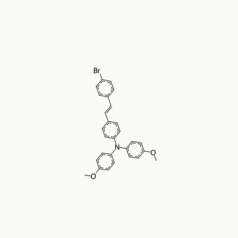 COc1ccc(N(c2ccc(C=Cc3ccc(Br)cc3)cc2)c2ccc(OC)cc2)cc1